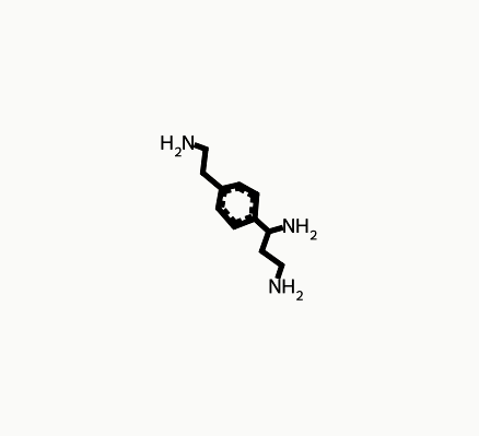 NCCc1ccc(C(N)CCN)cc1